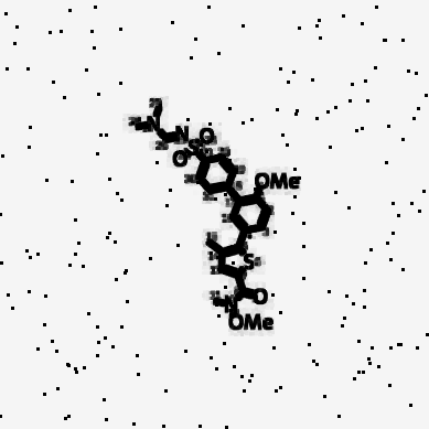 COc1ccc(-c2sc(C(=O)N(C)OC)cc2C)cc1-c1ccc(S(=O)(=O)N=CN(C)C)cc1